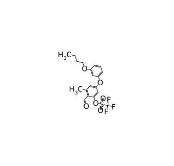 CCCCOc1cccc(Oc2cc(C)c(C=O)c(OS(=O)(=O)C(F)(F)F)c2)c1